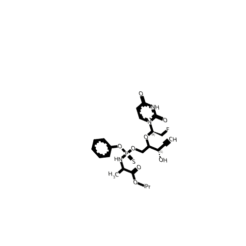 C#C[C@H](O)C(COP(=S)(NC(C)C(=O)OC(C)C)Oc1ccccc1)O[C@H](CF)n1ccc(=O)[nH]c1=O